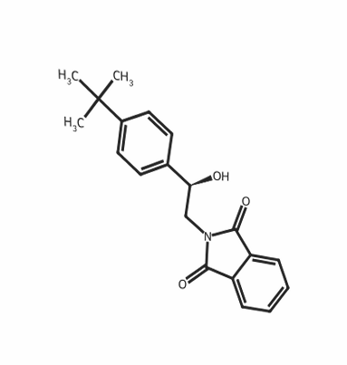 CC(C)(C)c1ccc([C@@H](O)CN2C(=O)c3ccccc3C2=O)cc1